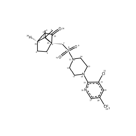 CC1(C)[C@H]2CC[C@]1(CS(=O)(=O)N1CCN(c3ncc(C(F)(F)F)cc3Cl)CC1)C(=O)C2